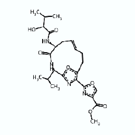 COC(=O)c1coc(-c2nc3oc2CC/C=C/C[C@H](NC(=O)[C@@H](O)C(C)C)C(=O)NC3C(C)C)n1